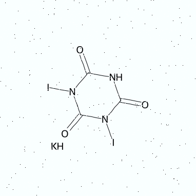 O=c1[nH]c(=O)n(I)c(=O)n1I.[KH]